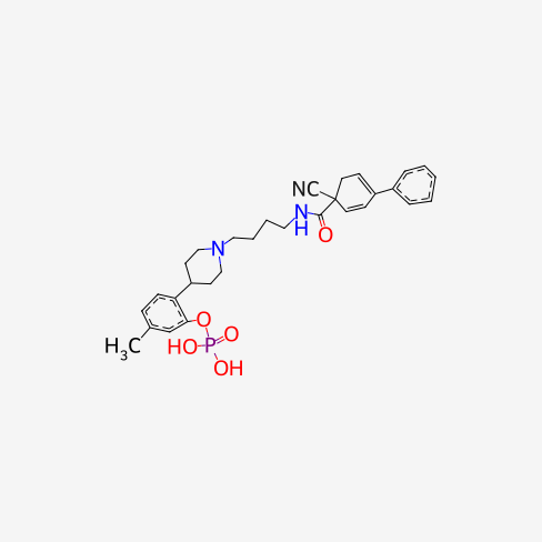 Cc1ccc(C2CCN(CCCCNC(=O)C3(C#N)C=CC(c4ccccc4)=CC3)CC2)c(OP(=O)(O)O)c1